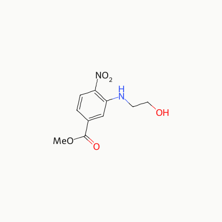 COC(=O)c1ccc([N+](=O)[O-])c(NCCO)c1